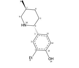 CCc1cc([C@H]2CC[C@H](C)CN2)ccc1O